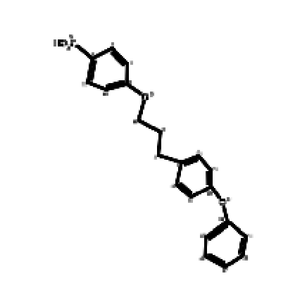 O=C(O)c1ccc(OCCCc2ccc(Oc3ccccc3)cc2)cc1